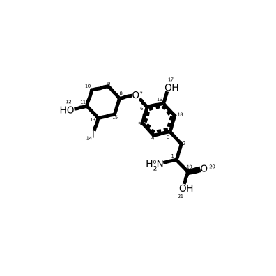 NC(Cc1ccc(OC2CCC(O)C(I)C2)c(O)c1)C(=O)O